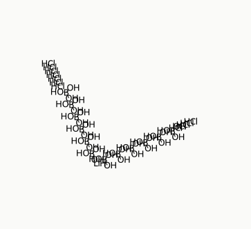 Cl.Cl.Cl.Cl.Cl.Cl.Cl.Cl.Cl.Cl.Cl.Cl.OB(O)O.OB(O)O.OB(O)O.OB(O)O.OB(O)O.OB(O)O.OB(O)O.OB(O)O.OB(O)O.OB(O)O.OB(O)O.OB(O)O.[LiH]